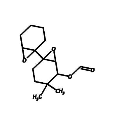 CC1(C)CCC2(C34CCCCC3O4)OC2C1OC=O